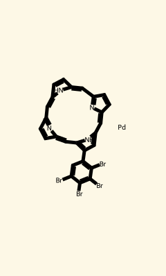 Brc1cc(-c2cc3cc4nc(cc5ccc(cc6nc(cc2[nH]3)C=C6)[nH]5)C=C4)c(Br)c(Br)c1Br.[Pd]